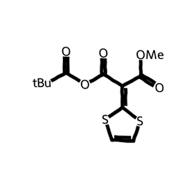 COC(=O)C(C(=O)OC(=O)C(C)(C)C)=C1SC=CS1